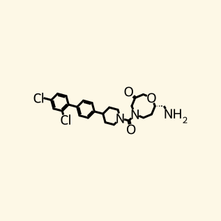 NC[C@@H]1CCN(C(=O)N2CCC(c3ccc(-c4ccc(Cl)cc4Cl)cc3)CC2)CC(=O)CO1